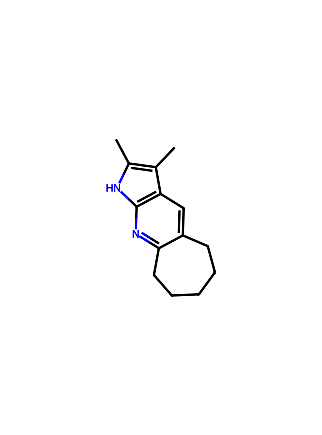 Cc1[nH]c2nc3c(cc2c1C)CCCCC3